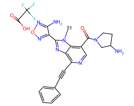 CCn1c(-c2nonc2N)nc2c(C#Cc3ccccc3)ncc(C(=O)N3CCC(N)C3)c21.O=C(O)C(F)(F)F